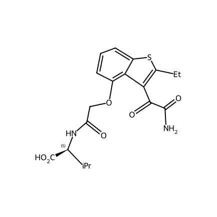 CCc1sc2cccc(OCC(=O)N[C@H](C(=O)O)C(C)C)c2c1C(=O)C(N)=O